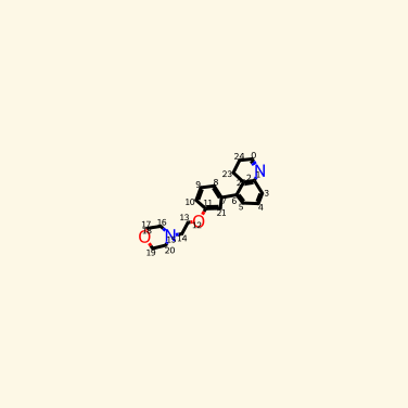 C1=Nc2cccc(-c3cccc(OCCN4CCOCC4)c3)c2CC1